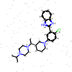 CC(C)N1CCN(C(C)[C@@H]2CCCN(c3ccc(Cl)c(-c4nc5ccccc5[nH]4)c3)C2)CC1